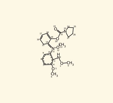 CONc1c(OC)cccc1/[N+](OC)=C1\CC=CC=C1OC(=O)N1CCCC1